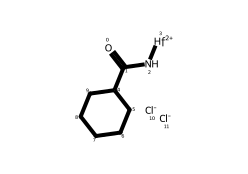 O=C([NH][Hf+2])C1CCCCC1.[Cl-].[Cl-]